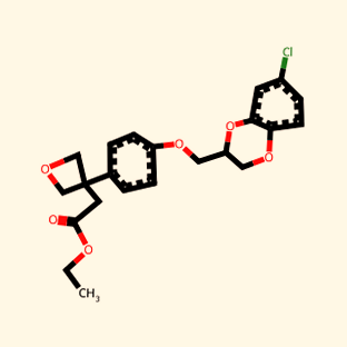 CCOC(=O)CC1(c2ccc(OCC3COc4ccc(Cl)cc4O3)cc2)COC1